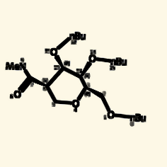 CCCCOC[C@H]1OC[C@@H](C(=O)NC)[C@@H](OCCCC)[C@H]1OCCCC